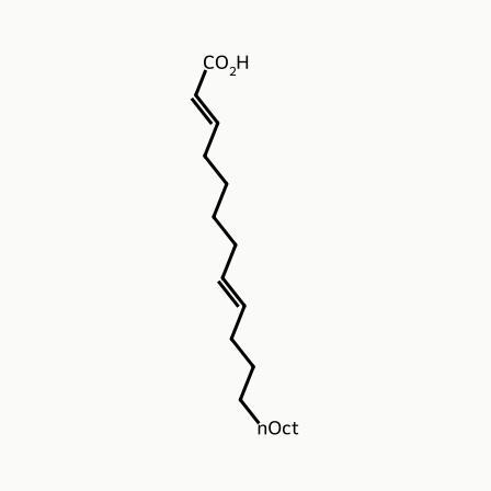 CCCCCCCCCCCC=CCCCCC=CC(=O)O